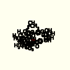 COC(=O)/C(C)=C\CC1(O)C(=O)C2CC(C(C)C)C13Oc1c(CC=C(C)C)c4c(c(OC(=O)c5ccc(O[C@H]6O[C@@H](CO)[C@H](O)[C@@H](O)[C@@H]6O)cc5)c1C15NCCN1C1=C(C(=O)c6ccccc61)C2C53)C=CC(C)(CCC=C(C)C)O4